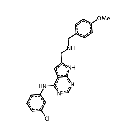 COc1ccc(CNCc2cc3c(Nc4cccc(Cl)c4)ncnc3[nH]2)cc1